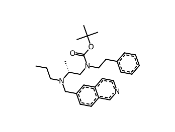 CCCN(Cc1ccc2cnccc2c1)[C@H](C)CN(CCc1ccccc1)C(=O)OC(C)(C)C